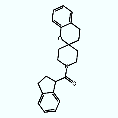 O=C(C1CCc2ccccc21)N1CCC2(CCc3ccccc3O2)CC1